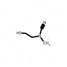 CN(C#N)CCS